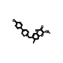 CC1Oc2cc(F)c(CN3CC=C(c4ccc(Cl)cc4)CC3)cc2NC1=O